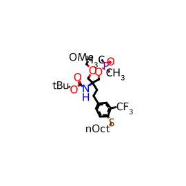 CCCCCCCCSc1ccc(CCC(COCOC)(COP(C)(C)=O)NC(=O)OC(C)(C)C)cc1C(F)(F)F